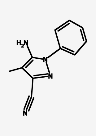 Cc1c(C#N)nn(-c2ccccc2)c1N